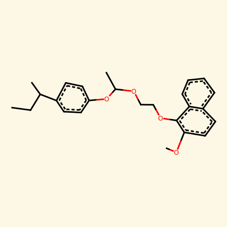 CCC(C)c1ccc(OC(C)OCCOc2c(OC)ccc3ccccc23)cc1